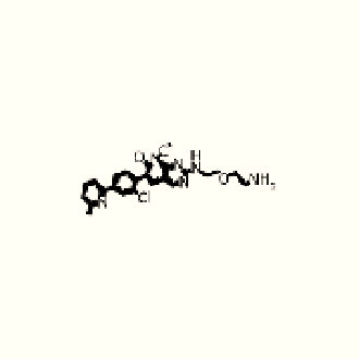 CCn1c(=O)c(-c2ccc(-c3cccc(C)n3)cc2Cl)cc2cnc(NCCOCCN)nc21